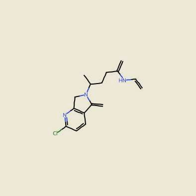 C=CNC(=C)CCC(C)N1Cc2nc(Cl)ccc2C1=C